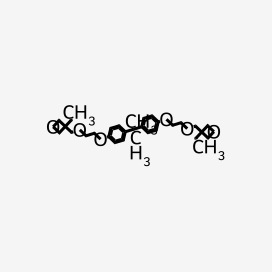 CCC1(COCCOc2ccc(C(C)(C)c3ccc(OCCOCC4(CC)COC4)cc3)cc2)COC1